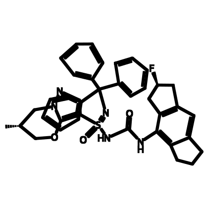 C[C@H]1COc2c(S(=O)(=NC(c3ccccc3)(c3ccccc3)c3ccccc3)NC(=O)Nc3c4c(cc5c3C[C@@H](F)C5)CCC4)cnn2C1